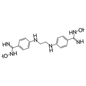 N=C(NO)c1ccc(NCCNc2ccc(C(=N)NO)cc2)cc1